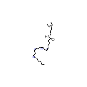 CCCCC/C=C\C/C=C\C/C=C\C/C=C\CCCC(=O)NCCCN(CC)CC